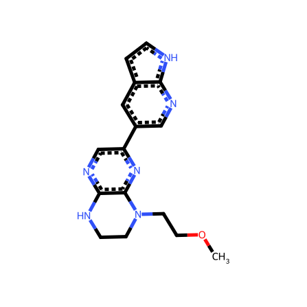 COCCN1CCNc2ncc(-c3cnc4[nH]ccc4c3)nc21